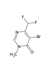 Cn1cnc(C(F)F)c(Br)c1=O